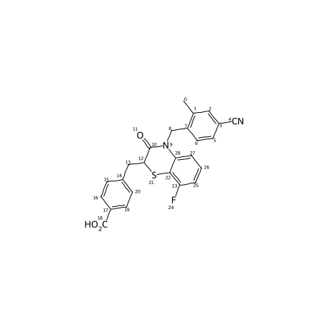 Cc1cc(C#N)ccc1CN1C(=O)C(Cc2ccc(C(=O)O)cc2)Sc2c(F)cccc21